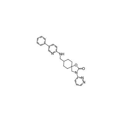 O=C1OC2(CCC(CNc3ccc(-c4ccccc4)cn3)CC2)CN1c1cccnn1